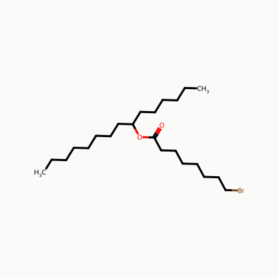 CCCCCCCCC(CCCCCC)OC(=O)CCCCCCCBr